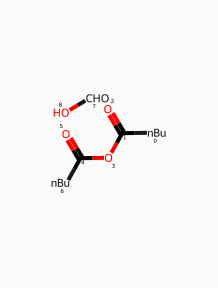 CCCCC(=O)OC(=O)CCCC.O=CO